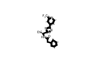 CC[C@H](NC(=O)Cc1ccccc1)c1nc(-c2ccnc(C(F)(F)F)c2)no1